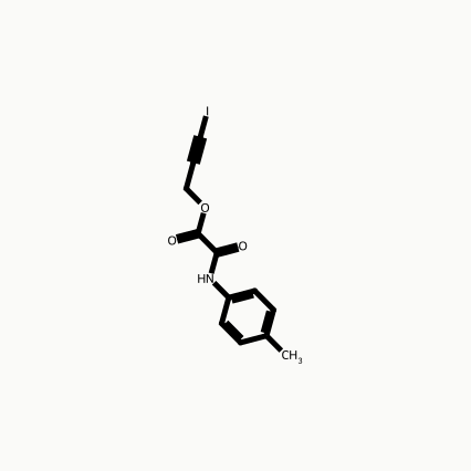 Cc1ccc(NC(=O)C(=O)OCC#CI)cc1